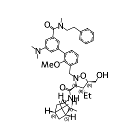 CC[C@H]1[C@H](CO)ON(Cc2cccc(-c3cc(C(=O)N(C)CCc4ccccc4)cc(N(C)C)c3)c2OC)[C@@H]1C(=O)N[C@H]1C[C@H]2C[C@@H]([C@@H]1C)C2(C)C